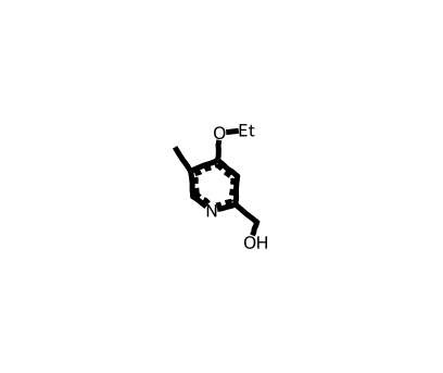 CCOc1cc(CO)ncc1C